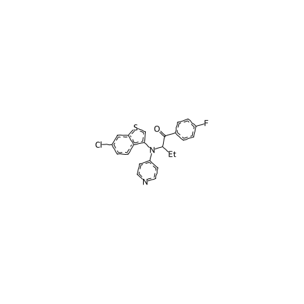 CCC(C(=O)c1ccc(F)cc1)N(c1ccncc1)c1csc2cc(Cl)ccc12